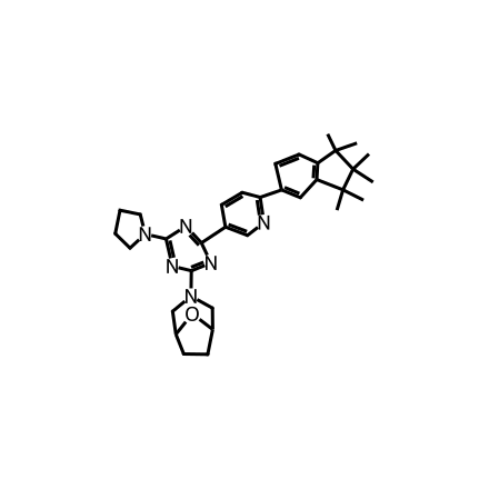 CC1(C)c2ccc(-c3ccc(-c4nc(N5CCCC5)nc(N5CC6CCC(C5)O6)n4)cn3)cc2C(C)(C)C1(C)C